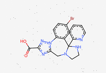 O=C(O)c1nc2n(n1)-c1ccc(Br)cc1C1(c3ccccn3)NCCN1C2